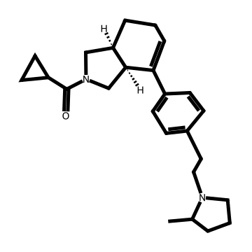 CC1CCCN1CCc1ccc(C2=CCC[C@@H]3CN(C(=O)C4CC4)C[C@H]23)cc1